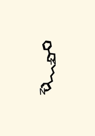 C1=C(c2ccccc2)CCN(CCCCCc2ccncc2)C1